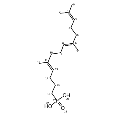 CC(C)=CCCC(C)=CCCC(C)=CCCCP(=O)(O)O